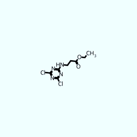 CCOC(=O)CCNc1nc(Cl)nc(Cl)n1